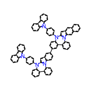 c1ccc2c(c1)-c1ccccc1-n1c(cc3cc(-c4ccc5c(c4)-c4ccccc4-n4c(cc6cc7ccccc7cc64)N5c4ccc(-n5c6ccccc6c6ccccc65)cc4)ccc31)N2c1ccc(-n2c3ccccc3c3ccccc32)cc1